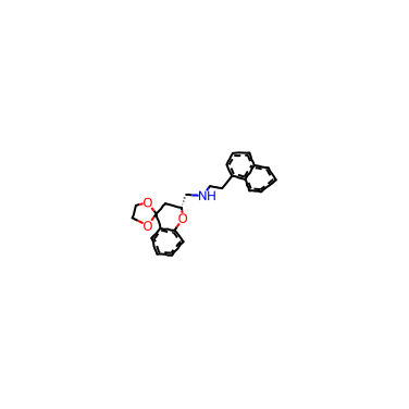 c1ccc2c(c1)O[C@@H](CNCCc1cccc3ccccc13)CC21OCCO1